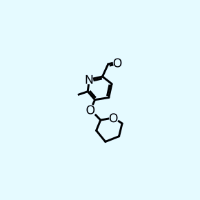 Cc1nc(C=O)ccc1OC1CCCCO1